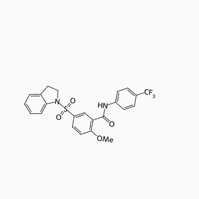 COc1ccc(S(=O)(=O)N2CCc3ccccc32)cc1C(=O)Nc1ccc(C(F)(F)F)cc1